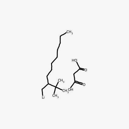 O=C(O)CC(=O)O.[Li][CH2]C(CCCCCCCC)C(C)(C)C